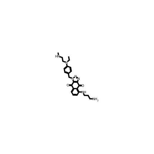 CCN(CCNC)c1ccc(Cn2nnc3c2C(=O)c2cccc(NCCCN)c2C3=O)cc1